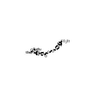 CCOC(=O)c1cnc(N2CCN(CCOCCOCCC(=O)N3CCN(c4ncc(CN(C(=O)OC(C)(C)C)C(=O)OC(C)(C)C)cn4)CC3)CC2)nc1